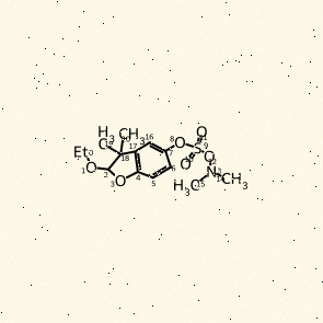 CCOC1Oc2ccc(OS(=O)(=O)ON(C)C)cc2C1(C)C